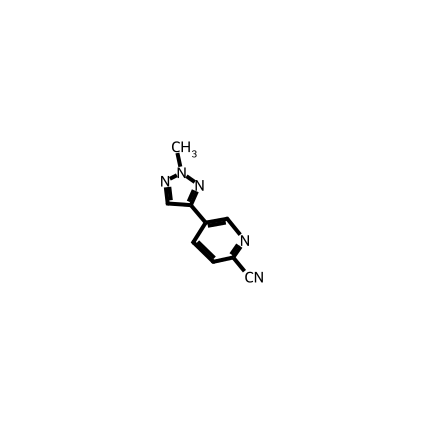 Cn1ncc(-c2ccc(C#N)nc2)n1